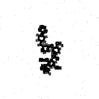 COc1c(NC(=O)c2ccc(C)c(Oc3cc(CC4CCN(C(=O)OC(C)(C)C)CC4)ncn3)c2)cc(C(C)(C)C)cc1NS(C)(=O)=O